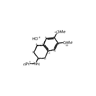 CCCNC1CCc2cc(OC)c(OC)cc2C1.Cl